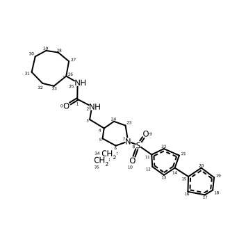 O=C(NCC1CCN(S(=O)(=O)c2ccc(-c3ccccc3)cc2)CC1)N[C]1CCCCCCC1.[CH2].[CH2]